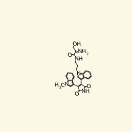 Cn1cc(C2=C(c3cn(CCCNC(=O)[C@@H](N)CO)c4ccccc34)C(=O)NC2=O)c2ccccc21